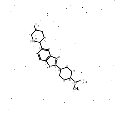 CC1CCC(c2ccc3sc(C4CCC(N(C)C)CC4)nc3c2)NC1